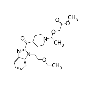 CCOCCn1c(C(=O)C2CCN(C(C)OCC(=O)OC)CC2)nc2ccccc21